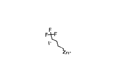 FC(F)(F)CCC[CH2][Zn+].[I-]